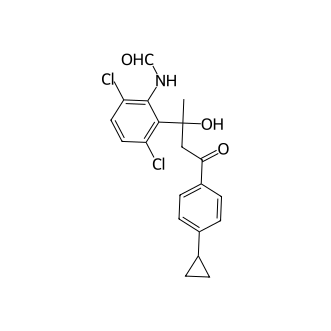 CC(O)(CC(=O)c1ccc(C2CC2)cc1)c1c(Cl)ccc(Cl)c1NC=O